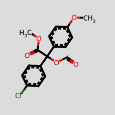 COC(=O)C(O[C]=O)(c1ccc(Cl)cc1)c1ccc(OC)cc1